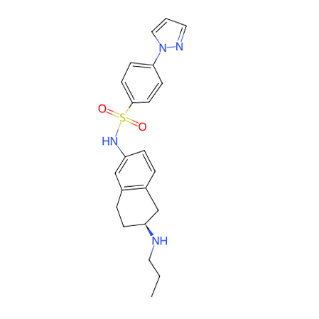 CCCN[C@H]1CCc2cc(NS(=O)(=O)c3ccc(-n4cccn4)cc3)ccc2C1